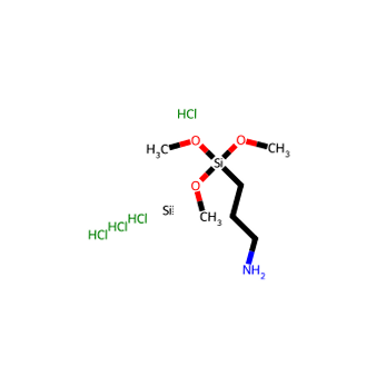 CO[Si](CCCN)(OC)OC.Cl.Cl.Cl.Cl.[Si]